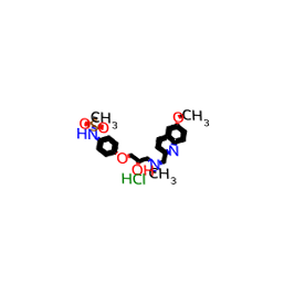 COc1ccc2nc(CN(C)CC(O)COc3ccc(NS(C)(=O)=O)cc3)ccc2c1.Cl